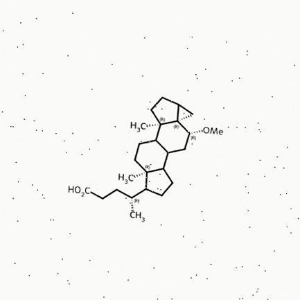 CO[C@@H]1CC2C3CCC([C@H](C)CCC(=O)O)[C@@]3(C)CCC2[C@@]2(C)CCC3C[C@]312